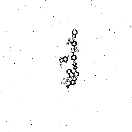 COc1cc(CN2CCN(C3CC4(C3)CN(c3ccc(C(=O)NS(=O)(=O)c5ccc(NCC6CCOCC6)c([N+](=O)[O-])c5)c(Oc5cnc6[nH]ccc6c5)c3)C4)C(c3ccccc3C(C)C)C2)ccc1C1CC1